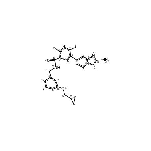 Cc1nc(C)c(-c2ccn3nc(N)nc3c2)cc1C(=O)NCc1cccc(OCC2CC2)c1